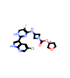 O=C(O[C@H]1CCOC1)N1CC(NC2=C(F)CNC(c3c[nH]c4ncc(Cl)cc34)=N2)C1